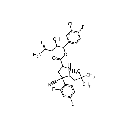 CC(C)(C)CC1NC(C(=O)OC(c2ccc(F)c(Cl)c2)C(O)CC(N)=O)CC1(C#N)c1ccc(Cl)cc1F